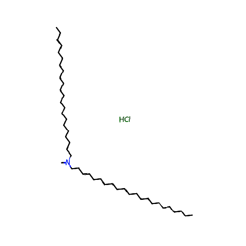 CCCCCCCCCCCCCCCCCCCCCCN(C)CCCCCCCCCCCCCCCCCCCCCC.Cl